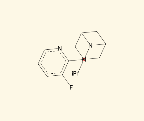 CC(C)N1CC2CC(C1)N2Cc1ncccc1F